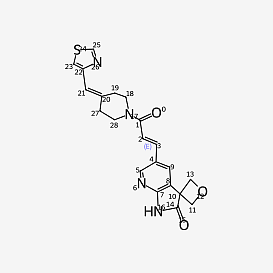 O=C(/C=C/c1cnc2c(c1)C1(COC1)C(=O)N2)N1CCC(=Cc2cscn2)CC1